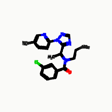 CSCCN(C(=O)c1cccc(Cl)c1)C(C)c1ncnn1-c1ccc(C#N)cn1